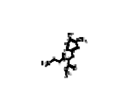 Cc1cc(C[C@H](NCCN)C(=O)OC(C)(C)C)ccc1F